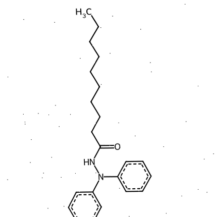 CCCCCCCCCC(=O)NN(c1ccccc1)c1ccccc1